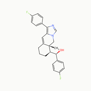 C[C@]12Cn3cnc(-c4ccc(F)cc4)c3C=C1CCC[C@@H]2[C@@H](O)c1ccc(F)cc1